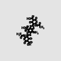 CC(=O)NC1=NC(=O)N(C(=O)O)C(=O)/C1=C1/Sc2c(N)c3c(c(S(=O)(=O)O)c2S1)S/C(=C1/C(=O)N(C(=O)O)C(=O)N=C1NC(C)=O)S3